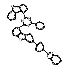 c1ccc(-c2nc(-c3cccc4oc5ccccc5c34)nc(-c3cccc4oc5cc(-c6ccc(-c7nc8ccccc8s7)cc6)ccc5c34)n2)cc1